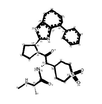 CN[C@@H](C)C(=O)N[C@H](C(=O)N1CCC[C@H]1c1nc2c(-c3ccccc3)cccc2s1)C1CCS(=O)(=O)CC1